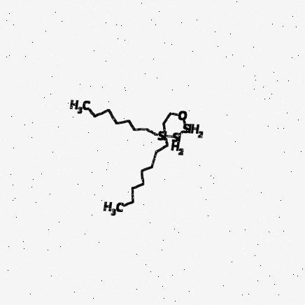 CCCCCCCC[Si]1(CCCCCCCC)CCO[SiH2][SiH2]1